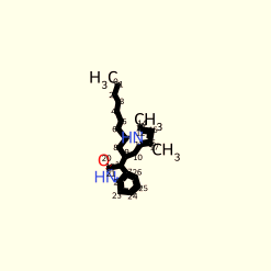 CCCCCCCCCC(Cc1[nH]c(C)cc1C)C1C(=O)Nc2ccccc21